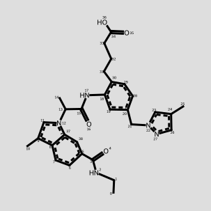 CCNC(=O)c1ccc2c(C)cn(C(C)C(=O)Nc3cc(Cn4cc(C)cn4)ccc3CCCC(=O)O)c2c1